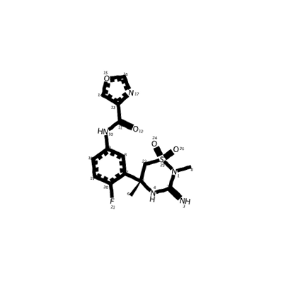 CN1C(=N)N[C@](C)(c2cc(NC(=O)c3cocn3)ccc2F)CS1(=O)=O